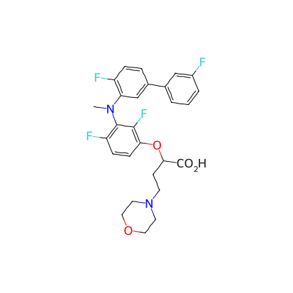 CN(c1cc(-c2cccc(F)c2)ccc1F)c1c(F)ccc(OC(CCN2CCOCC2)C(=O)O)c1F